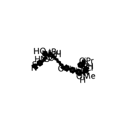 COc1cc(N2CCC(N3CCN(C(=O)CCCCCCCC(=O)NC(C(=O)N4C[C@H](O)C[C@H]4C(=O)NCc4ccc(-c5scnc5C)cc4)C(C)(C)C)CC3)CC2)ccc1Nc1ncc(Cl)c(Nc2ccccc2S(=O)(=O)C(C)C)n1